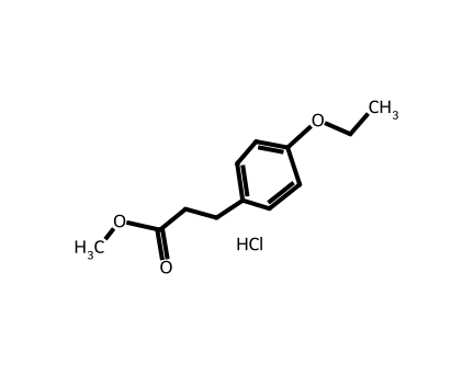 CCOc1ccc(CCC(=O)OC)cc1.Cl